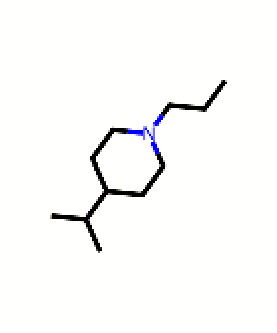 CCCN1CCC(C(C)C)CC1